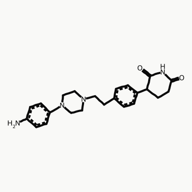 Nc1ccc(N2CCN(CCc3ccc(C4CCC(=O)NC4=O)cc3)CC2)cc1